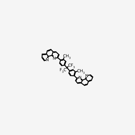 Cc1cc(C(c2ccc(-c3ccc4ccc5cccnc5c4n3)c(C)c2)(C(F)(F)F)C(F)(F)F)ccc1-c1ccc2ccc3cccnc3c2n1